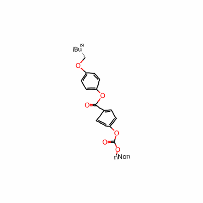 CCCCCCCCCOC(=O)Oc1ccc(C(=O)Oc2ccc(OC[C@@H](C)CC)cc2)cc1